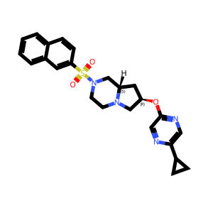 O=S(=O)(c1ccc2ccccc2c1)N1CCN2C[C@H](Oc3cnc(C4CC4)cn3)C[C@H]2C1